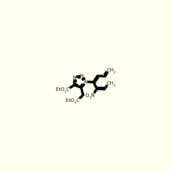 C=C/C=C(\C(=C/C)[N+](=O)[O-])n1nnc(C(=O)OCC)c1CC(=O)OCC